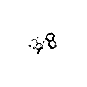 CON1C(C)=CN(C)C1N(C)C.c1ccc2ncccc2c1